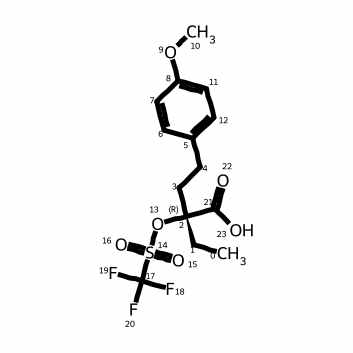 CC[C@](CCc1ccc(OC)cc1)(OS(=O)(=O)C(F)(F)F)C(=O)O